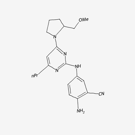 CCCc1cc(N2CCCC2COC)nc(Nc2ccc(N)c(C#N)c2)n1